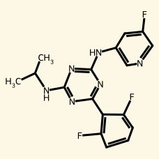 CC(C)Nc1nc(Nc2cncc(F)c2)nc(-c2c(F)cccc2F)n1